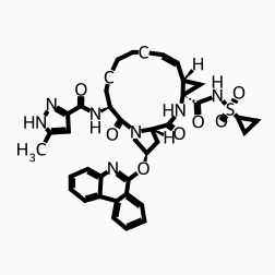 Cc1cc(C(=O)N[C@H]2CCCCCC=C[C@@H]3C[C@@]3(C(=O)NS(=O)(=O)C3CC3)NC(=O)[C@@H]3C[C@@H](Oc4nc5ccccc5c5ccccc45)CN3C2=O)n[nH]1